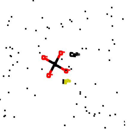 [Ca+2].[O-][Si]([O-])([O-])[O-].[S+2]